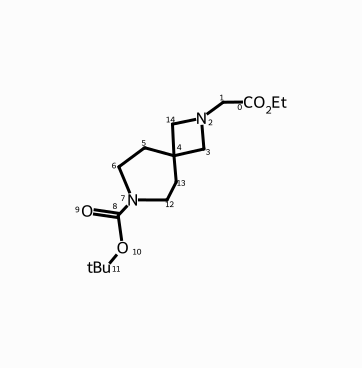 CCOC(=O)CN1CC2(CCN(C(=O)OC(C)(C)C)CC2)C1